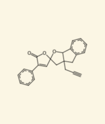 C#CCC12Cc3ccccc3C1OC1(C=C(c3ccccc3)C(=O)O1)C2